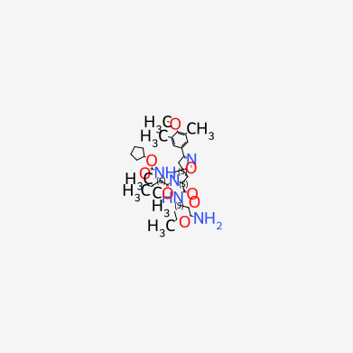 CCC[C@H](NC(=O)[C@@H]1C[C@]2(CC(c3cc(C)c(OC)c(C)c3)=NO2)CN1C(=O)[C@@H](NC(=O)OC1CCCC1)C(C)(C)C)C(=O)C(N)=O